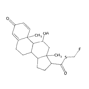 CC12C=CC(=O)C=C1CCC1C2C(O)CC2(C)C(C(=O)SCF)CCC12